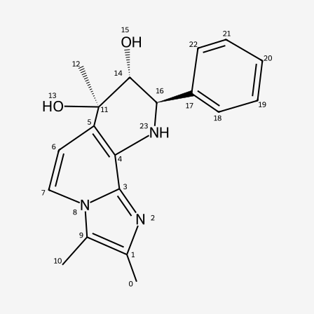 Cc1nc2c3c(ccn2c1C)[C@@](C)(O)[C@H](O)[C@@H](c1ccccc1)N3